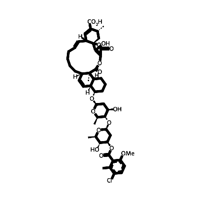 COc1ccc(Cl)c(C)c1C(=O)O[C@@H]1C[C@H](O[C@H]2[C@H](O)C[C@H](O[C@H]3CCC[C@@H]4[C@@H]3C=C[C@H]3CCCC/C=C/[C@@H]5C=C(C(=O)O)[C@H](C)C[C@]56OC(=O)C(=C6O)OC(=O)[C@@]43C)O[C@@H]2C)O[C@H](C)[C@H]1O